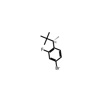 C[C@H](c1ccc(Br)cc1F)C(C)(C)C